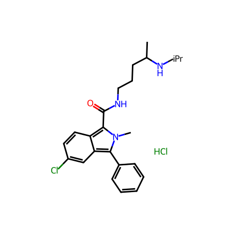 CC(C)NC(C)CCCNC(=O)c1c2ccc(Cl)cc2c(-c2ccccc2)n1C.Cl